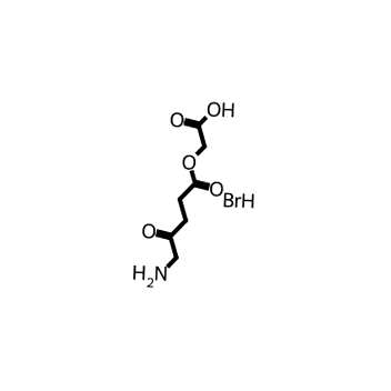 Br.NCC(=O)CCC(=O)OCC(=O)O